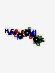 CNC(=O)Oc1cc(Oc2ccc(NC(=O)Nc3ccc(Cl)c(C(F)(F)F)c3)c(F)c2)ccn1